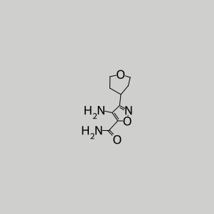 NC(=O)c1onc(C2CCOCC2)c1N